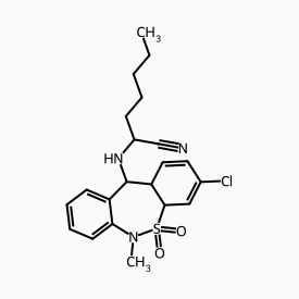 CCCCCC(C#N)NC1c2ccccc2N(C)S(=O)(=O)C2C=C(Cl)C=CC12